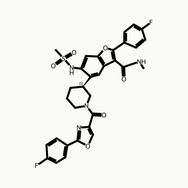 CNC(=O)c1c(-c2ccc(F)cc2)oc2cc(NS(C)(=O)=O)c([C@@H]3CCCN(C(=O)c4coc(-c5ccc(F)cc5)n4)C3)cc12